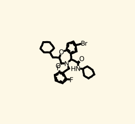 O=C(NC1CCCCC1)C1c2cc(Br)ccc2OC(CC2CCCCC2)C(=O)N1Cc1c(F)cccc1F